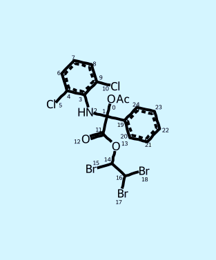 CC(=O)OC(Nc1c(Cl)cccc1Cl)(C(=O)OC(Br)C(Br)Br)c1ccccc1